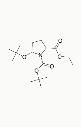 CCOC(=O)[C@H]1CCC(OC(C)(C)C)N1C(=O)OC(C)(C)C